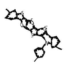 Cc1ccc(-n2c3cc(C)ccc3c3sc4c5sc6c(oc7c8ccc(C)cc8sc76)c5sc4c32)cc1